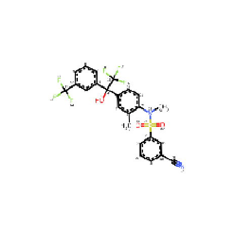 Cc1cc(C(O)(c2cccc(C(F)(F)F)c2)C(F)(F)F)ccc1N(C)S(=O)(=O)c1cccc(C#N)c1